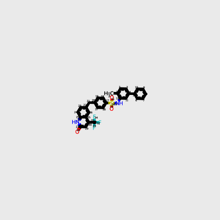 Cc1ccc(-c2ccccc2)cc1NS(=O)(=O)c1ccc(Cc2ccc3[nH]c(=O)cc(C(F)(F)F)c3c2)cc1